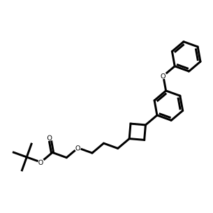 CC(C)(C)OC(=O)COCCCC1CC(c2cccc(Oc3ccccc3)c2)C1